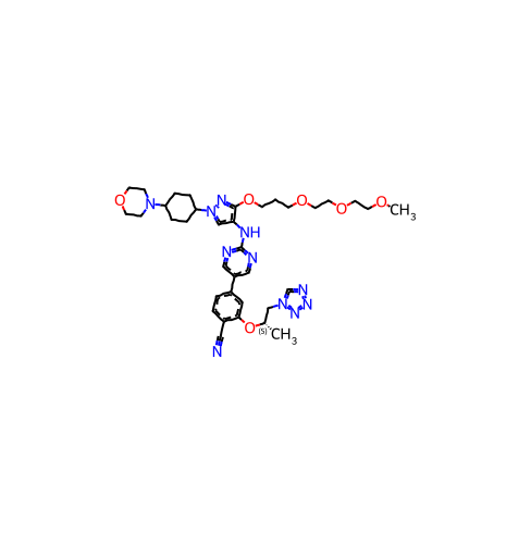 COCCOCCOCCCOc1nn(C2CCC(N3CCOCC3)CC2)cc1Nc1ncc(-c2ccc(C#N)c(O[C@@H](C)Cn3cnnn3)c2)cn1